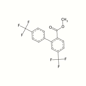 COC(=O)c1ccc(C(F)(F)F)cc1-c1ccc(C(F)(F)F)cc1